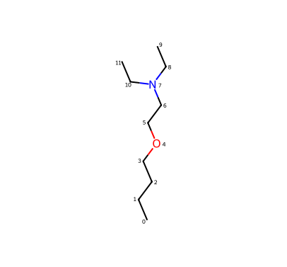 CCCCOCCN(CC)CC